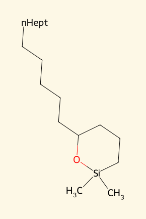 CCCCCCCCCCCCC1CCC[Si](C)(C)O1